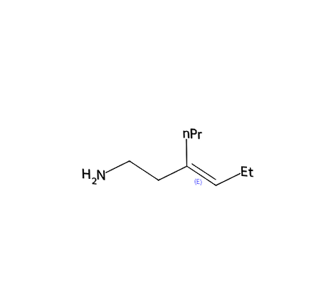 CC/C=C(\CCC)CCN